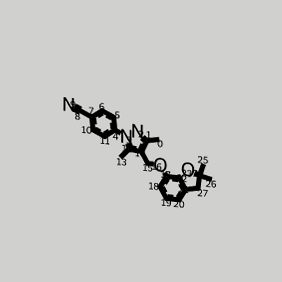 Cc1nn(-c2ccc(C#N)cc2)c(C)c1COc1cccc2c1OC(C)(C)C2